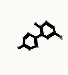 Cc1ccc(-c2cc(Cl)ccc2C)cc1